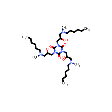 CCCCCCN(C)CC(O)Cn1c(=O)n(CC(O)CN(C)CCCCCC)c(=O)n(CC(O)CN(C)CCCCCC)c1=O